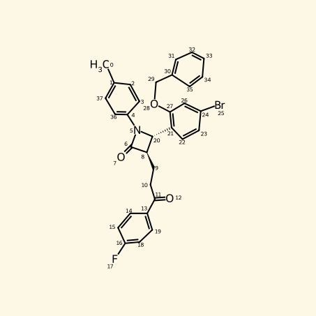 Cc1ccc(N2C(=O)[C@H](CCC(=O)c3ccc(F)cc3)[C@H]2c2ccc(Br)cc2OCc2ccccc2)cc1